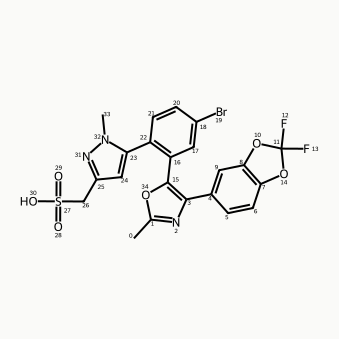 Cc1nc(-c2ccc3c(c2)OC(F)(F)O3)c(-c2cc(Br)ccc2-c2cc(CS(=O)(=O)O)nn2C)o1